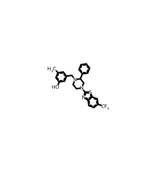 Cc1cc(O)cc(CN2CCN(c3nc4ccc(C(F)(F)F)cc4s3)CC2c2ccccc2)c1